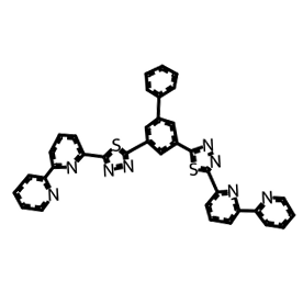 c1ccc(-c2cc(-c3nnc(-c4cccc(-c5ccccn5)n4)s3)cc(-c3nnc(-c4cccc(-c5ccccn5)n4)s3)c2)cc1